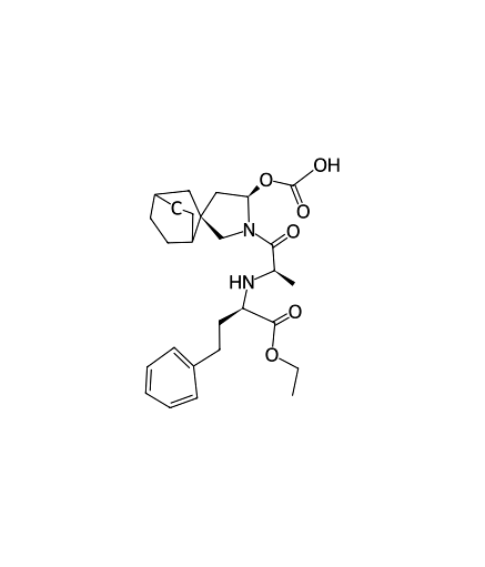 CCOC(=O)[C@@H](CCc1ccccc1)N[C@H](C)C(=O)N1C[C@@]2(CC3CCC2CC3)C[C@H]1OC(=O)O